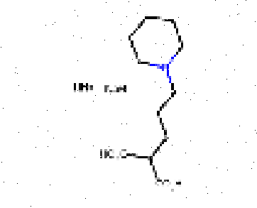 O=C(O)C(CCCN1CCCCC1)C(=O)O.[NaH].[NaH]